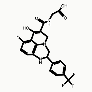 O=C(O)CNC(=O)C1=C(O)c2c(F)ccc3c2N(C1)CC(c1ccc(C(F)(F)F)cc1)N3